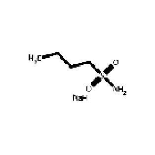 CCCCS(N)(=O)=O.[NaH]